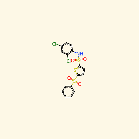 O=S(=O)(Nc1ccc(Cl)cc1Cl)c1ccc(S(=O)(=O)c2ccccc2)s1